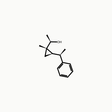 C[C@@H](c1ccccc1)[C@H]1C[C@]1(C)[C@@H](C)O